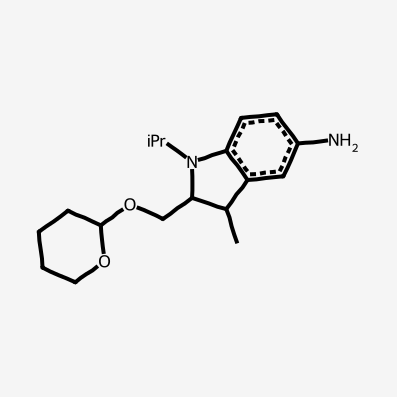 CC1c2cc(N)ccc2N(C(C)C)C1COC1CCCCO1